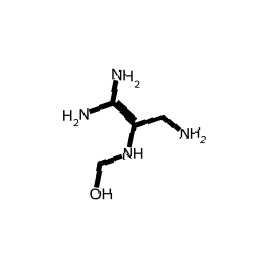 NCC(NCO)=C(N)N